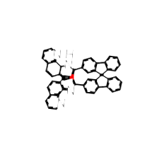 C1=Cc2cccnc2C2NC(c3ccc4c(c3)C3(c5ccccc5-4)c4ccccc4-c4ccc(-c5ccc6ccc7cccnc7c6n5)cc43)=CC=C12